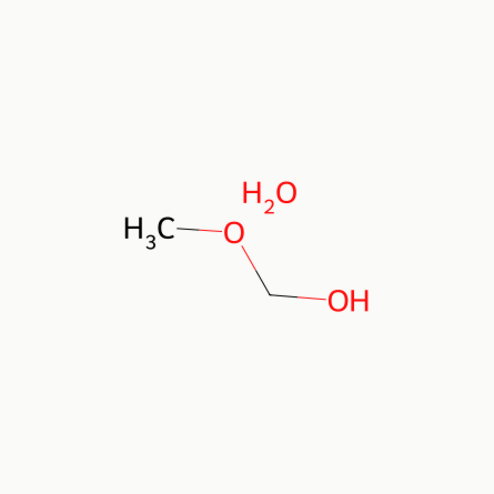 COCO.O